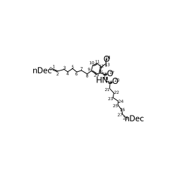 CCCCCCCCCC/C=C/CCCCCCc1ccc(I=O)c(C(=O)NC(=O)CCCCCCCCCCCCCCCCC)c1